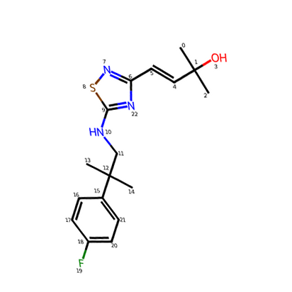 CC(C)(O)C=Cc1nsc(NCC(C)(C)c2ccc(F)cc2)n1